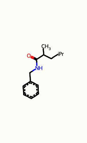 CC(C)CC(C)C(=O)NCc1ccccc1